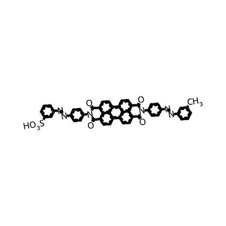 Cc1cccc(N=Nc2ccc(N3C(=O)c4ccc5c6ccc7c8c(ccc(c9ccc(c4c59)C3=O)c86)C(=O)N(c3ccc(N=Nc4cccc(S(=O)(=O)O)c4)cc3)C7=O)cc2)c1